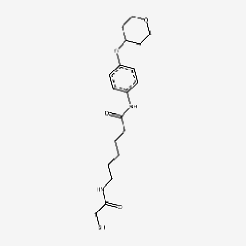 O=C(CS)NCCCCCC(=O)Nc1ccc(OC2CCOCC2)cc1